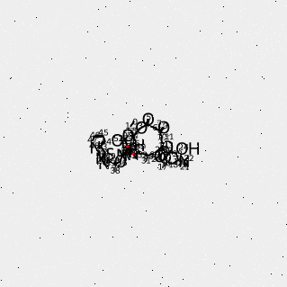 CC[C@@H]1OC(=O)[C@H](C)C(=O)[C@H](C)[C@@H](O[C@@H]2O[C@H](C)C[C@H](N(C)C)[C@H]2O)[C@](C)(OC)C[C@@H](C)C2=N/C(=N\O[C@@H](C)c3nnc(-c4ccccn4)s3)[C@@H]3C(=O)O[C@@]1(C)[C@H]3[C@H]2C